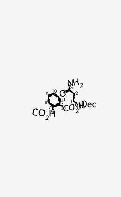 CCCCCCCCCCCCC(N)=O.O=C(O)c1ccccc1C(=O)O